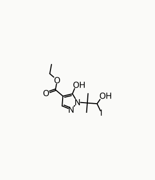 CCOC(=O)c1cnn(C(C)(C)C(O)I)c1O